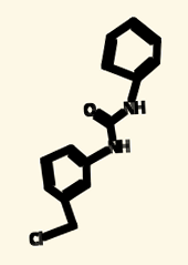 O=C(Nc1ccccc1)Nc1cccc(CCl)c1